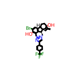 C=C1C[C@]23C[C@@]1(O)CC[C@H]2c1cc(Br)c(O)c(C)c1[C@@H]3Cn1cc(-c2ccc(C(F)(F)F)cc2)nn1